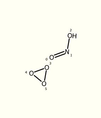 O=NO.o1oo1